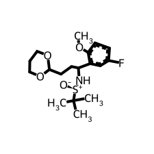 COc1ccc(F)cc1C(CCC1OCCCO1)N[S@+]([O-])C(C)(C)C